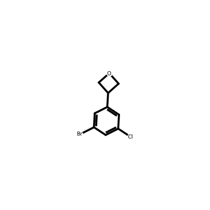 Clc1cc(Br)cc(C2COC2)c1